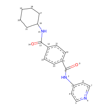 O=C(Nc1ccncc1)c1ccc(C(=O)NC2CCCCC2)cc1